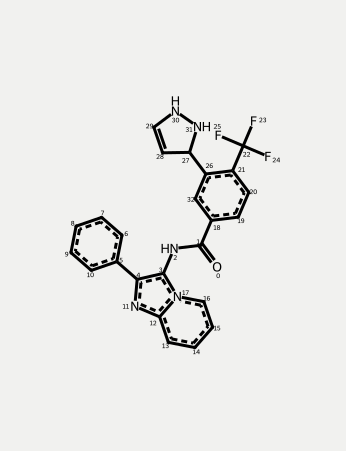 O=C(Nc1c(-c2ccccc2)nc2ccccn12)c1ccc(C(F)(F)F)c(C2C=CNN2)c1